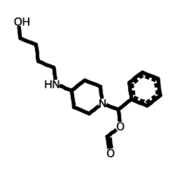 O=COC(c1ccccc1)N1CCC(NCCCCO)CC1